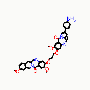 COc1ccc2c(c1)CN1C(=O)c3cc(OC)c(OCCCOc4cc5c(cc4OC)C(=O)N4C=C(c6ccc(N)cc6)C[C@H]4C=N5)cc3N=C[C@@H]1C2